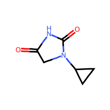 O=C1CN(C2CC2)C(=O)N1